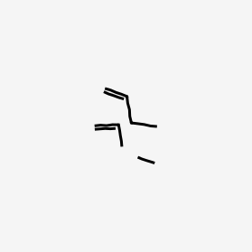 C=CC.C=CCC.CC